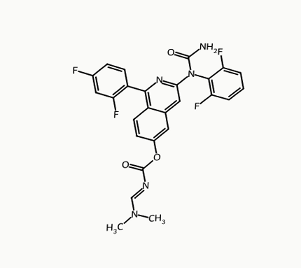 CN(C)/C=N/C(=O)Oc1ccc2c(-c3ccc(F)cc3F)nc(N(C(N)=O)c3c(F)cccc3F)cc2c1